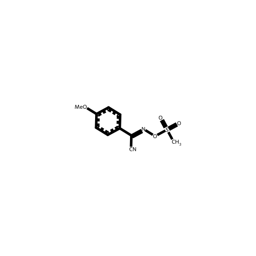 COc1ccc(C(C#N)=NOS(C)(=O)=O)cc1